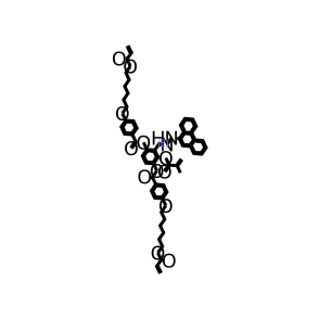 C=CC(=O)OCCCCCCOc1ccc(C(=O)Oc2ccc(OC(=O)c3ccc(OCCCCCCOC(=O)C=C)cc3)c(OC(=O)C(=C)C)c2/C=N/Nc2cc3ccccc3c3ccccc23)cc1